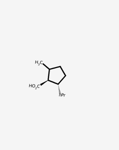 CCC[C@H]1CCC(C)[C@@H]1C(=O)O